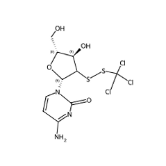 Nc1ccn([C@@H]2O[C@H](CO)[C@@H](O)C2SSC(Cl)(Cl)Cl)c(=O)n1